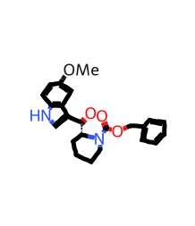 COc1ccc2[nH]cc(C(=O)[C@H]3CCCCN3C(=O)OCc3ccccc3)c2c1